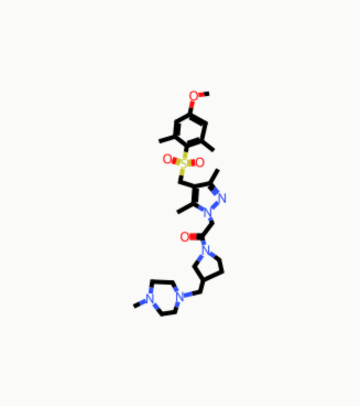 COc1cc(C)c(S(=O)(=O)Cc2c(C)nn(CC(=O)N3CCC(CN4CCN(C)CC4)C3)c2C)c(C)c1